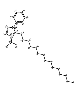 CCCCCCCCCCCCCCCc1n(-c2ccccc2)cc[n+]1C(C)C